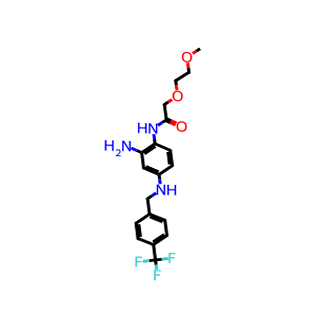 COCCOCC(=O)Nc1ccc(NCc2ccc(C(F)(F)F)cc2)cc1N